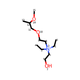 CC[N+](CC)(CCO)CCOCC(C)OC